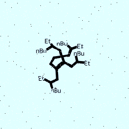 CCCCC(CC)CC1=C(CC(CC)CCCC)C(CC(CC)CCCC)(CC(CC)CCCC)CC1